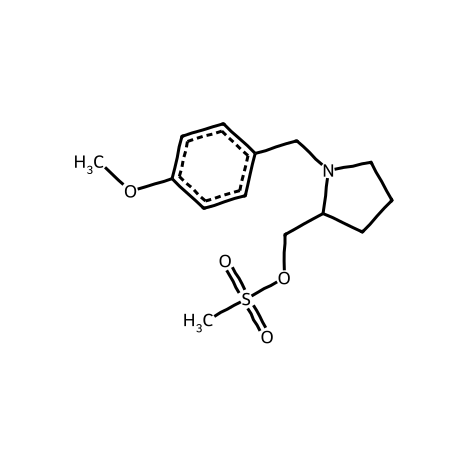 COc1ccc(CN2CCCC2COS(C)(=O)=O)cc1